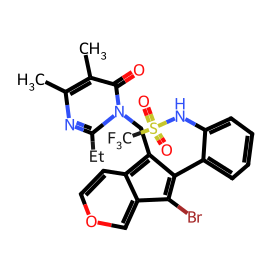 CCc1nc(C)c(C)c(=O)n1Cc1c2ccocc-2c(Br)c1-c1ccccc1NS(=O)(=O)C(F)(F)F